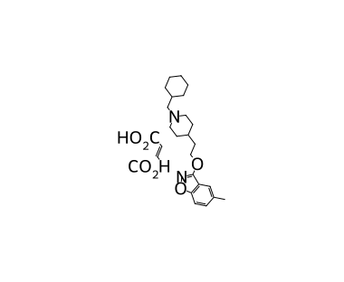 Cc1ccc2onc(OCCC3CCN(CC4CCCCC4)CC3)c2c1.O=C(O)C=CC(=O)O